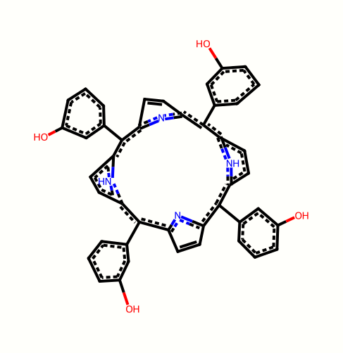 Oc1cccc(-c2c3nc(c(-c4cccc(O)c4)c4ccc([nH]4)c(-c4cccc(O)c4)c4nc(c(-c5cccc(O)c5)c5ccc2[nH]5)C=C4)C=C3)c1